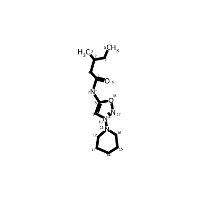 CCC(C)CC(=O)[N-]c1c[n+](N2CCCCC2)no1